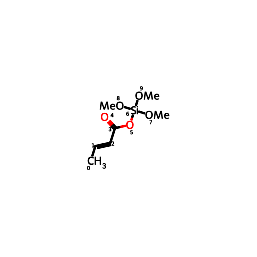 CC=CC(=O)O[Si](OC)(OC)OC